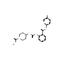 CC(C)(C)OC(=O)N1CCC(OC(=O)Nc2ccccc2C(=O)Nc2ccc(Cl)cn2)CC1